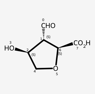 O=C[C@H]1[C@H](O)CO[C@@H]1C(=O)O